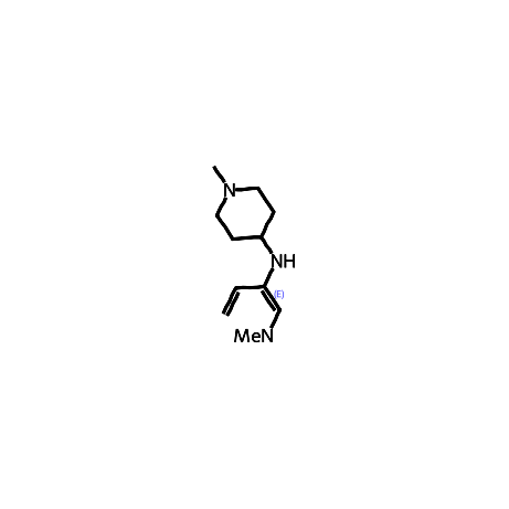 C=C/C(=C\NC)NC1CCN(C)CC1